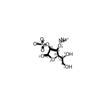 O=C1O[C@H]([C@@H](O)CO)C([O-])=C1OS(=O)(=O)[O-].[Na+].[Na+]